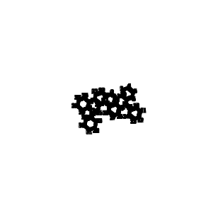 C(=Nc1ccccc1P(c1ccccc1)c1ccccc1)c1cccc(CP(C2CCCCC2)C2CCCCC2)n1